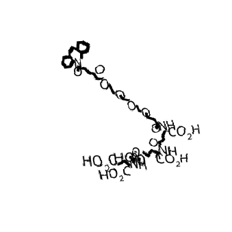 O=C(O)CC[C@H](NP(=O)(O)OCCC[C@@H](NC(=O)CC[C@H](NC(=O)CCOCCOCCOCCOCCC(=O)CCC(=O)N1Cc2ccccc2C#Cc2ccccc21)C(=O)O)C(=O)O)C(=O)O